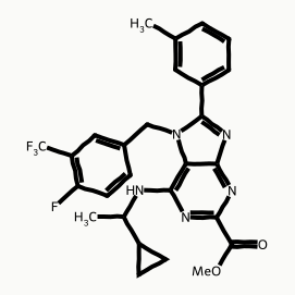 COC(=O)c1nc(NC(C)C2CC2)c2c(n1)nc(-c1cccc(C)c1)n2Cc1ccc(F)c(C(F)(F)F)c1